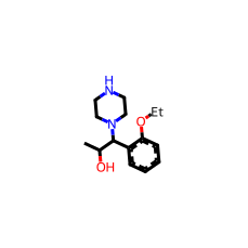 CCOc1ccccc1C(C(C)O)N1CCNCC1